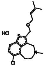 CC(C)=CCOCc1sc2ccc(Cl)c3c2c1CN(C)CC3.Cl